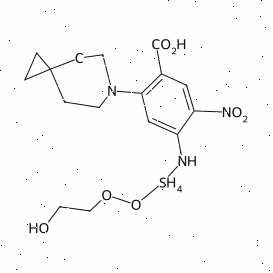 O=C(O)c1cc([N+](=O)[O-])c(N[SH4]OOCCO)cc1N1CCC2(CC1)CC2